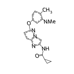 CNc1cc(Oc2ccc3nc(NC(=O)C4CC4)cn3n2)ccc1C